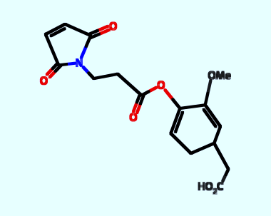 COC1=CC(CC(=O)O)CC=C1OC(=O)CCN1C(=O)C=CC1=O